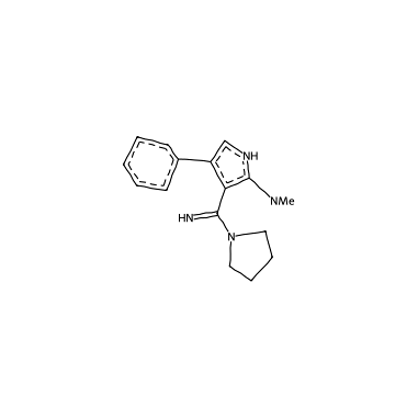 CNc1[nH]cc(-c2ccccc2)c1C(=N)N1CCCC1